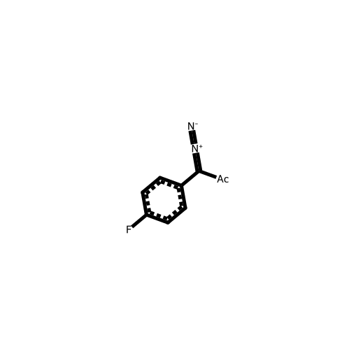 CC(=O)C(=[N+]=[N-])c1ccc(F)cc1